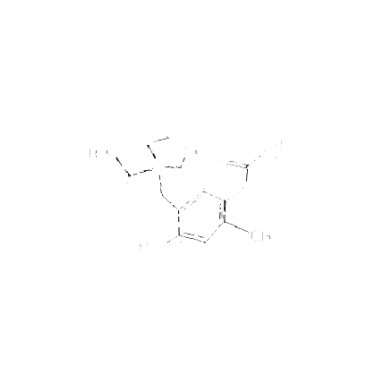 CC[Si](CC)(CC)Cc1cc(OC(=O)O)c(O)cc1C